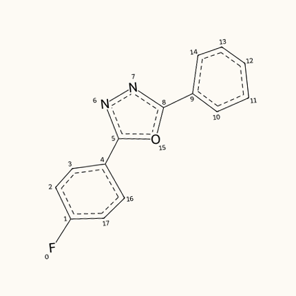 Fc1ccc(-c2nnc(-c3ccccc3)o2)cc1